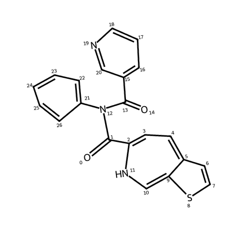 O=C(C1=CC=c2ccsc2=CN1)N(C(=O)c1cccnc1)c1ccccc1